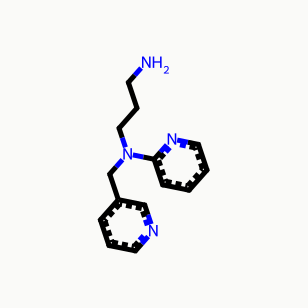 NCCCN(Cc1cccnc1)c1ccccn1